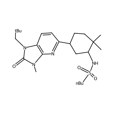 CCCCS(=O)(=O)NC1CC(c2ccc3c(n2)n(C)c(=O)n3CC(C)(C)C)CCC1(C)C